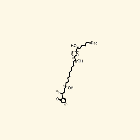 CCCCCCCCCCCCCC[C@@H](O)[C@H]1CC[C@H]([C@H](O)CCCCCCCCC[C@H](O)CCC([18F])C2=C[C@H](C)CC2=O)O1